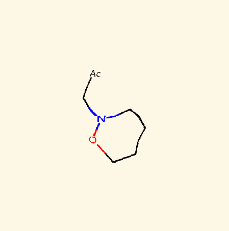 CC(=O)CN1CCCCO1